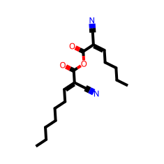 CCCCC=C(C#N)C(=O)OC(=O)C(C#N)=CCCCCCC